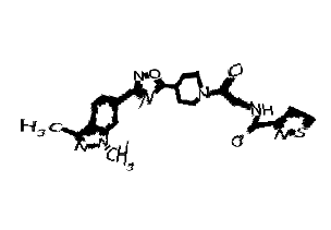 Cc1nn(C)c2cc(-c3noc(C4CCN(C(=O)CNC(=O)c5ccsn5)CC4)n3)ccc12